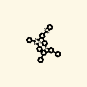 c1ccc(-c2ccc3c(c2)c2cc(-c4ccccc4)ccc2n3-c2ccc(-c3cc(-c4nc5ccccc5s4)ccc3-c3nc(-c4ccccc4)nc(-c4ccccc4)n3)cc2)cc1